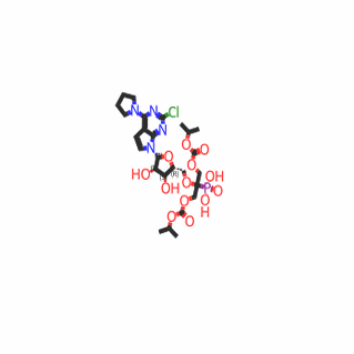 CC(C)OC(=O)OCC(COC(=O)OC(C)C)(OC[C@H]1O[C@@H](n2ccc3c(N4CCCC4)nc(Cl)nc32)[C@H](O)[C@@H]1O)P(=O)(O)O